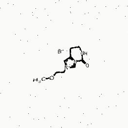 COCC[n+]1cc2n(c1)C(=O)NCC2.[Br-]